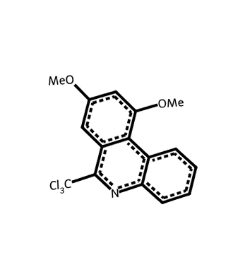 COc1cc(OC)c2c(c1)c(C(Cl)(Cl)Cl)nc1ccccc12